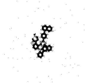 C=N/C=C\c1c(C)oc2ccc(-n3c4ccccc4c4ccccc43)c(-c3nc(-c4ccccc4)nc(-c4ccc(-c5cccc6ccccc56)cc4)n3)c12